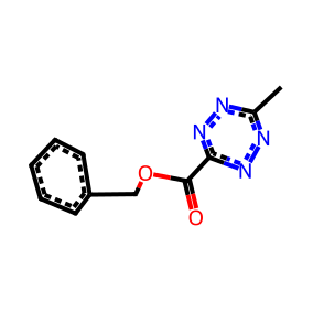 Cc1nnc(C(=O)OCc2ccccc2)nn1